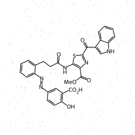 COC(=O)c1nc(C(=O)c2c[nH]c3ccccc23)sc1NC(=O)CCc1ccccc1/N=N/c1ccc(O)c(C(=O)O)c1